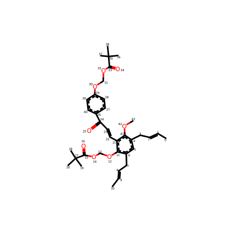 CC=CCc1cc(CC=CC)c(OCOC(=O)C(C)(C)C)c(C=CC(=O)c2ccc(OCOC(=O)C(C)(C)C)cc2)c1OC